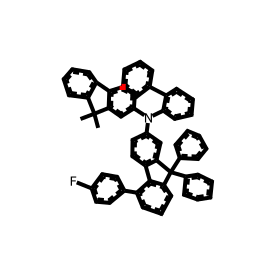 CC1(C)c2ccccc2-c2ccc(N(c3ccc4c(c3)C(c3ccccc3)(c3ccccc3)c3cccc(-c5ccc(F)cc5)c3-4)c3ccccc3-c3ccccc3)cc21